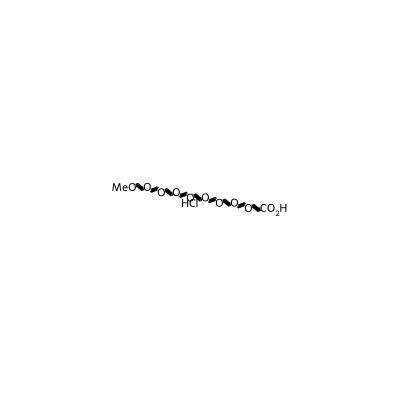 COCCOCCOCCOCCOCCOCCOCCOCCOCCC(=O)O.Cl